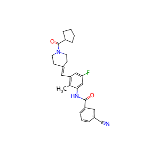 Cc1c(C=C2CCN(C(=O)C3CCCC3)CC2)cc(F)cc1NC(=O)c1cccc(C#N)c1